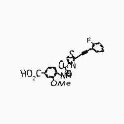 COc1cc(C(=O)O)ccc1NS(=O)(=O)c1csc(C#Cc2ccccc2F)n1